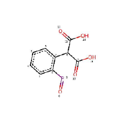 O=Pc1ccccc1C(C(=O)O)C(=O)O